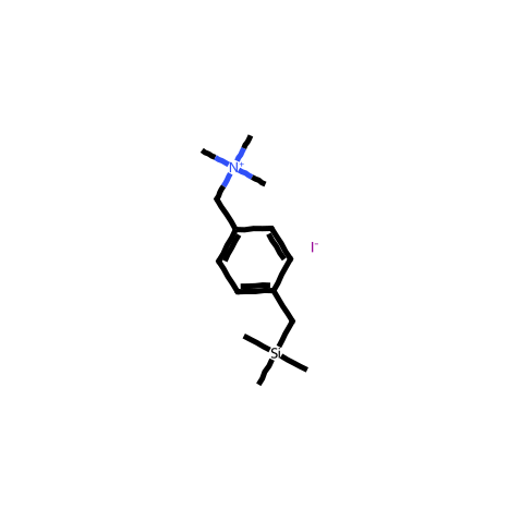 C[N+](C)(C)Cc1ccc(C[Si](C)(C)C)cc1.[I-]